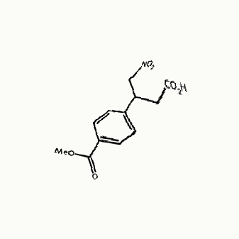 COC(=O)c1ccc(C(CC(=O)O)C[N+](=O)[O-])cc1